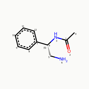 CC(=O)N[C@H](CN)c1ccccc1